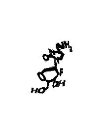 Nc1ccn([C@@H]2COC(CO)[C@@H](O)[C@H]2F)c(=O)n1